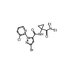 CCN(CC)C(=O)C1(NC(=O)c2cc(Br)nn2-c2ncccc2Cl)CC1